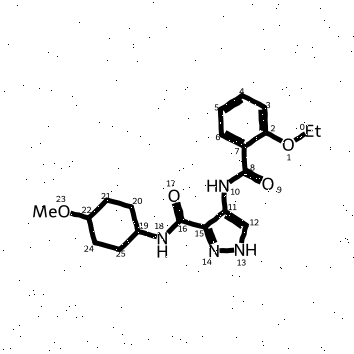 CCOc1ccccc1C(=O)Nc1c[nH]nc1C(=O)NC1CCC(OC)CC1